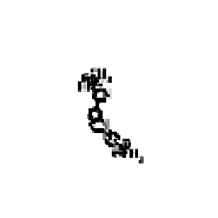 CS(=O)(=O)Nc1cncc(-c2ccc3ncc(N4CCN(S(C)(=O)=O)CC4)nc3c2)c1